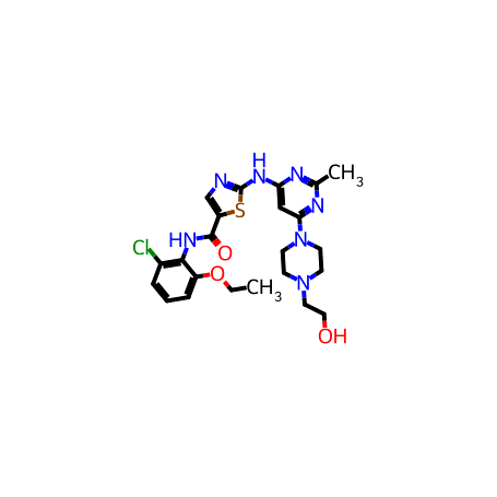 CCOc1cccc(Cl)c1NC(=O)c1cnc(Nc2cc(N3CCN(CCO)CC3)nc(C)n2)s1